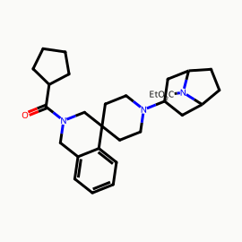 CCOC(=O)N1C2CCC1CC(N1CCC3(CC1)CN(C(=O)C1CCCC1)Cc1ccccc13)C2